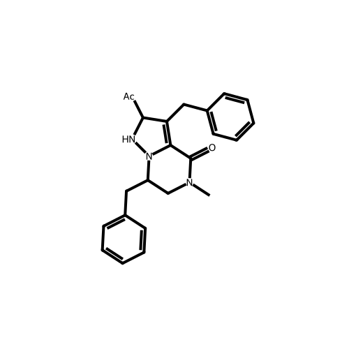 CC(=O)C1NN2C(=C1Cc1ccccc1)C(=O)N(C)CC2Cc1ccccc1